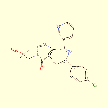 CC(C)(O)Cn1cnc2c(-c3cccnc3)nc(-c3ccc(Cl)cc3)cc2c1=O